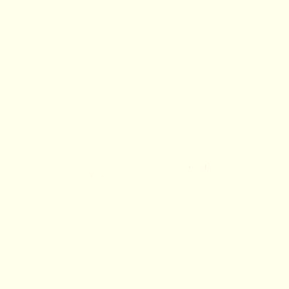 CCOC(=O)c1ccc(C(O)c2ccccc2)cc1